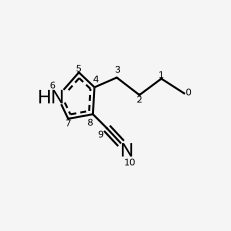 CCCCc1c[nH]cc1C#N